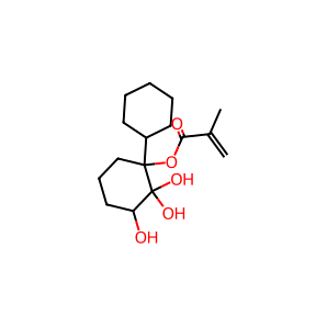 C=C(C)C(=O)OC1(C2CCCCC2)CCCC(O)C1(O)O